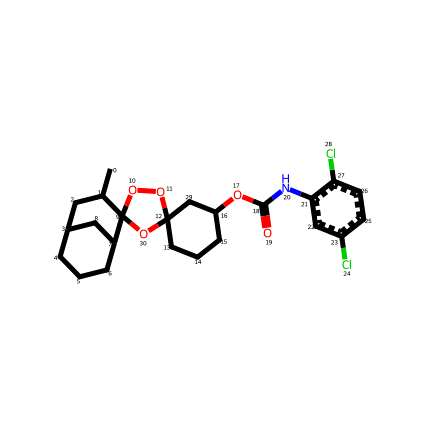 CC1CC2CCCC(C2)C12OOC1(CCCC(OC(=O)Nc3cc(Cl)ccc3Cl)C1)O2